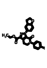 CCOC(=O)c1nn(-c2ccc3c(c2)CCO3)c2c1CCN(c1ccc(I)cc1)C2=O